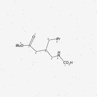 CC(C)COC(=O)CC(CNC(=O)O)CC(C)C